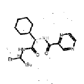 CC[C@@H](NC(=O)[C@@H](NC(=O)c1cnccn1)C1CCCCC1)C(C)(C)C